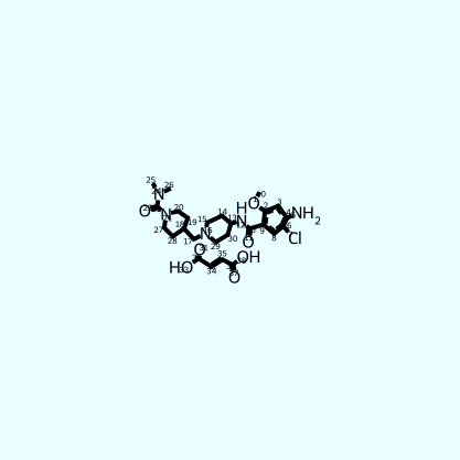 COc1cc(N)c(Cl)cc1C(=O)NC1CCN(CC2CCN(C(=O)N(C)C)CC2)CC1.O=C(O)C=CC(=O)O